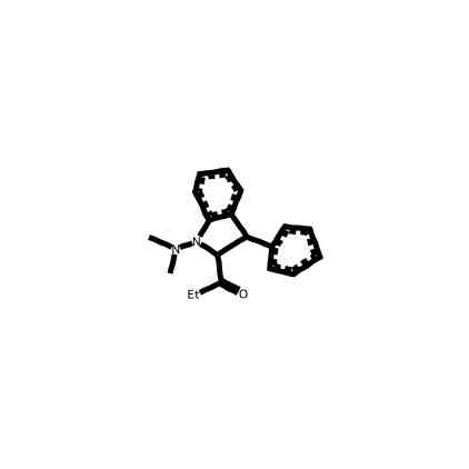 CCC(=O)C1C(c2ccccc2)c2ccccc2N1N(C)C